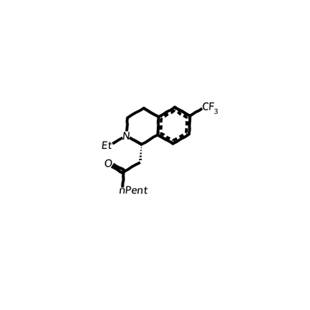 CCCCCC(=O)C[C@H]1c2ccc(C(F)(F)F)cc2CCN1CC